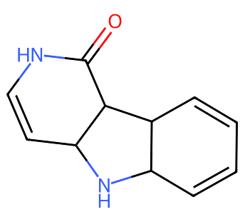 O=C1NC=CC2NC3C=CC=CC3C12